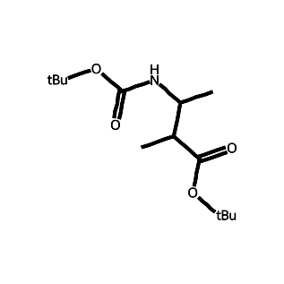 CC(NC(=O)OC(C)(C)C)C(C)C(=O)OC(C)(C)C